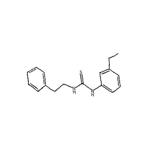 CCc1cccc(NC(=S)NCCc2ccccc2)c1